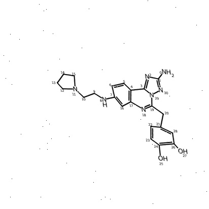 Nc1nc2c3ccc(NCCN4CCCC4)cc3nc(Cc3ccc(O)c(O)c3)n2n1